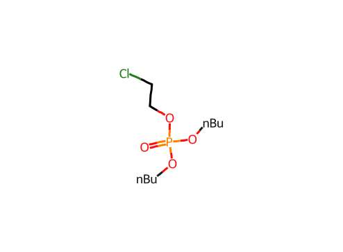 CCCCOP(=O)(OCCCl)OCCCC